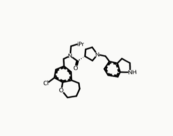 CC(C)CN(Cc1cc(Cl)c2c(c1)CCCCO2)C(=O)[C@@H]1CCN(Cc2cccc3c2CCN3)C1